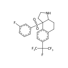 O=S(=O)(c1cccc(F)c1)C12CCNC1CCc1cc(C(F)(C(F)(F)F)C(F)(F)F)ccc12